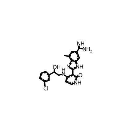 Cc1cc(C(=N)N)cc2[nH]c(-c3c(NCC(O)c4cccc(Cl)c4)cc[nH]c3=O)nc12